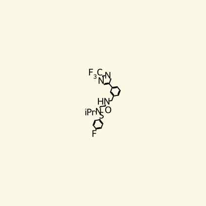 CC(C)N(CC(=O)NCc1cccc(-c2cnc(C(F)(F)F)nc2)c1)Sc1ccc(F)cc1